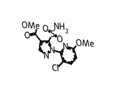 COC(=O)c1cnn(-c2nc(OC)ccc2Cl)c1S(N)(=O)=O